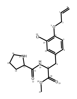 C=CCOc1ccc(CC(NC(=O)C2CCCN2)C(=O)OC)cc1Cl